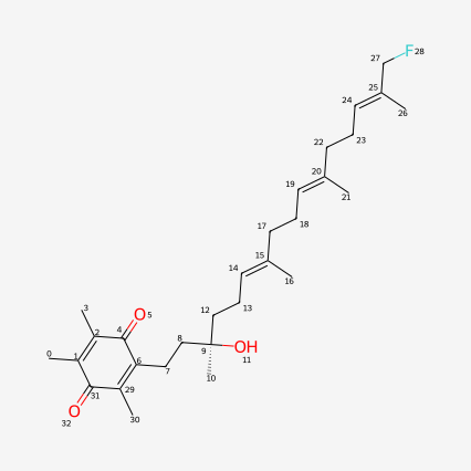 CC1=C(C)C(=O)C(CC[C@](C)(O)CC/C=C(\C)CC/C=C(\C)CC/C=C(\C)CF)=C(C)C1=O